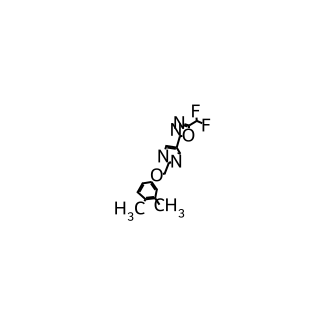 Cc1ccc(OCc2ncc(-c3nnc(C(F)F)o3)cn2)cc1C